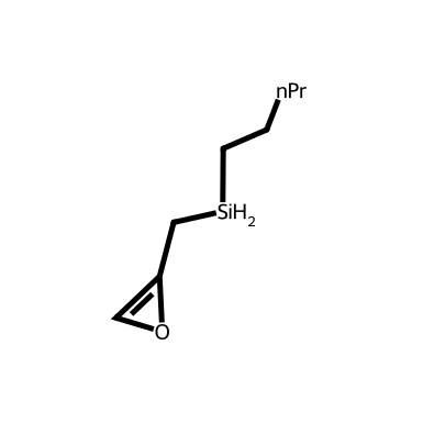 CCCCC[SiH2]CC1=CO1